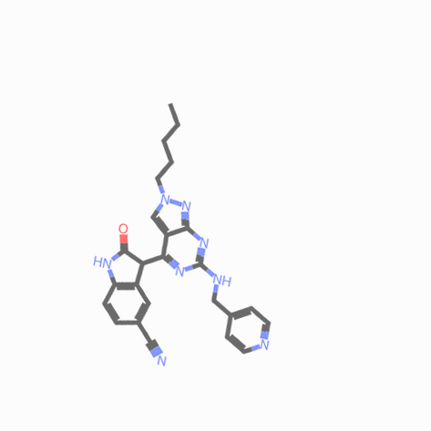 CCCCCn1cc2c(C3C(=O)Nc4ccc(C#N)cc43)nc(NCc3ccncc3)nc2n1